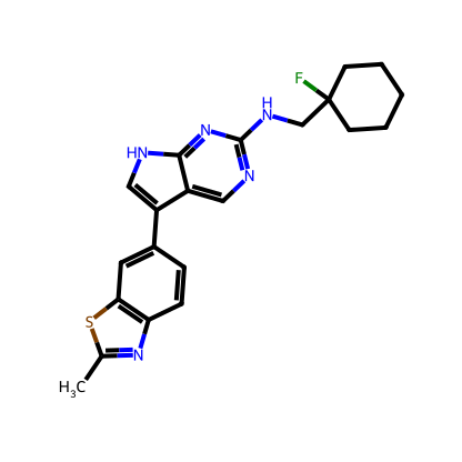 Cc1nc2ccc(-c3c[nH]c4nc(NCC5(F)CCCCC5)ncc34)cc2s1